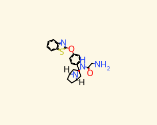 NCC(=O)NC1C[C@H]2CC[C@@H](C1)N2Cc1ccc(Oc2nc3ccccc3s2)cc1